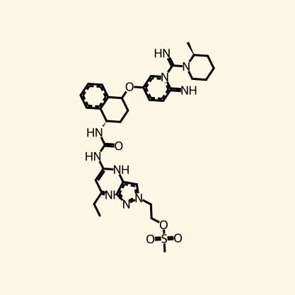 CCC(=N)/C=C(/NC(=O)N[C@H]1CCC(Oc2ccc(=N)n(C(=N)N3CCCC[C@@H]3C)c2)c2ccccc21)Nc1cnn(CCOS(C)(=O)=O)c1